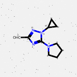 O=Cc1nc(N2CCCC2)n(C2CC2)n1